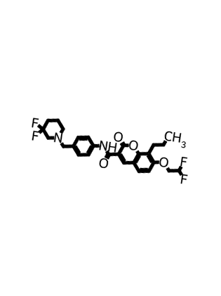 CCCc1c(OCC(F)F)ccc2cc(C(=O)Nc3ccc(CN4CCCC(F)(F)C4)cc3)c(=O)oc12